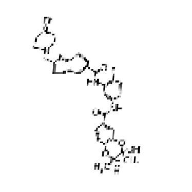 CCN1CCN(Cc2ccc3cc(C(=O)Nc4cc(NC(=O)c5ccc6c(c5)OC(C)(O)[C@](C)(O)O6)ccc4F)ccc3n2)CC1